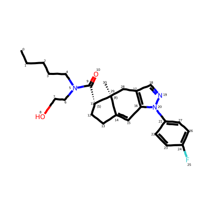 CCCCCN(CCO)C(=O)[C@H]1CCC2=Cc3c(cnn3-c3ccc(F)cc3)C[C@@]21C